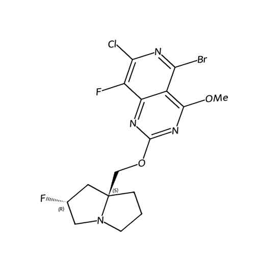 COc1nc(OC[C@@]23CCCN2C[C@H](F)C3)nc2c(F)c(Cl)nc(Br)c12